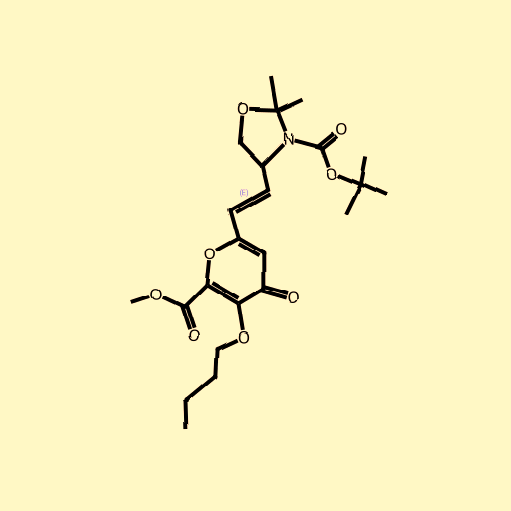 CCCCOc1c(C(=O)OC)oc(/C=C/C2COC(C)(C)N2C(=O)OC(C)(C)C)cc1=O